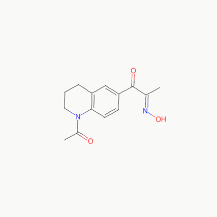 CC(=O)N1CCCc2cc(C(=O)C(C)=NO)ccc21